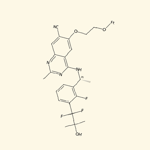 CCOCCOc1cc2c(N[C@H](C)c3cccc(C(F)(F)C(C)(C)O)c3F)nc(C)nc2cc1C#N